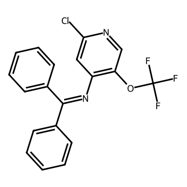 FC(F)(F)Oc1cnc(Cl)cc1N=C(c1ccccc1)c1ccccc1